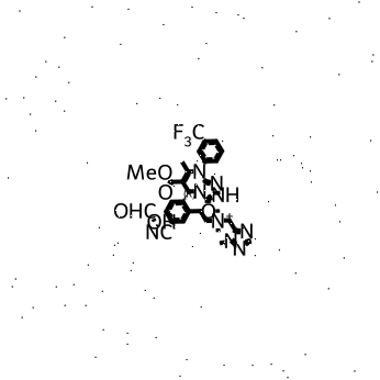 COC(=O)C1=C(C)N(c2cccc(C(F)(F)F)c2)c2n[nH]c(=O)n2[C@@H]1c1ccc(C#N)cc1CC[N+](C)(C)Cc1ncnn1C.O=CO